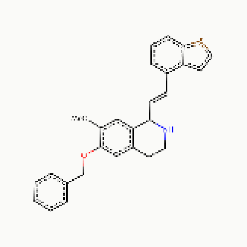 COc1cc2c(cc1OCc1ccccc1)CCNC2/C=C/c1cccc2sccc12